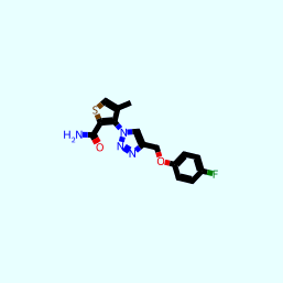 Cc1csc(C(N)=O)c1-n1cc(COc2ccc(F)cc2)nn1